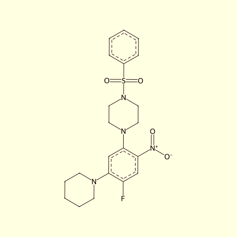 O=[N+]([O-])c1cc(F)c(N2CCCCC2)cc1N1CCN(S(=O)(=O)c2ccccc2)CC1